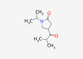 CC(C)C(=O)C1CC(=O)N(C(C)C)C1